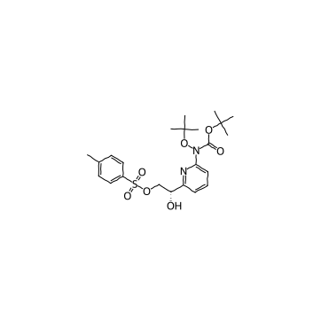 Cc1ccc(S(=O)(=O)OC[C@@H](O)c2cccc(N(OC(C)(C)C)C(=O)OC(C)(C)C)n2)cc1